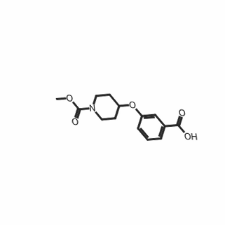 COC(=O)N1CCC(Oc2cccc(C(=O)O)c2)CC1